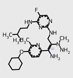 Cc1nc(/C(N)=C(\CNc2ncc(F)c(NCCC(C)C)n2)N(C)N)ccc1OC1CCCCC1